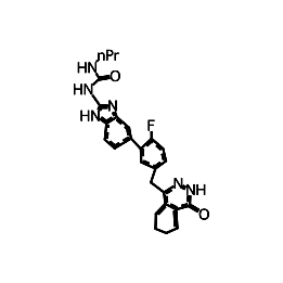 CCCNC(=O)Nc1nc2cc(-c3cc(Cc4n[nH]c(=O)c5c4=CCCC=5)ccc3F)ccc2[nH]1